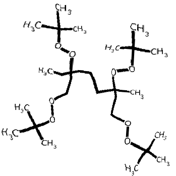 CC(C)(C)OOCC(C)(CCC(C)(COOC(C)(C)C)OOC(C)(C)C)OOC(C)(C)C